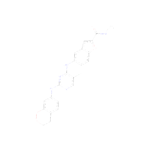 CNC(=O)c1cc2cc(Nc3nc(Nc4ccc5c(c4)OOCC5)ncc3F)ccc2o1